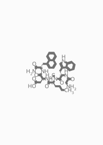 CCCC[C@@H](C(=O)N[C@@H](CC(=O)O)C(=O)N[C@@H](Cc1cccc2ccccc12)C(N)=O)N(C)C(=O)[C@H](Cc1c[nH]c2ccccc12)NC(=O)CN